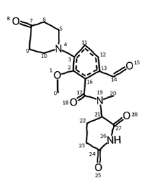 COc1c(N2CCC(=O)CC2)ccc(C=O)c1C(=O)N(C)C1CCC(=O)NC1=O